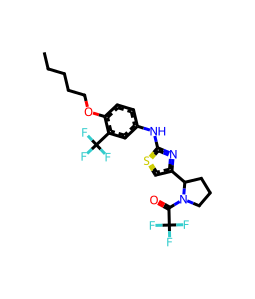 CCCCCOc1ccc(Nc2nc(C3CCCN3C(=O)C(F)(F)F)cs2)cc1C(F)(F)F